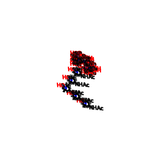 CC(=O)NC1CC(C)(C)N(O)C(C)(C)C1.CC(=O)NC1CC(C)(C)N(O)C(C)(C)C1.CC(=O)NC1CC(C)(C)N(O)C(C)(C)C1.CC(=O)NC1CC(C)(C)N(O)C(C)(C)C1.CC(=O)NC1CC(C)(C)N(O)C(C)(C)C1.O=P(O)(O)C(N(CCN(C(P(=O)(O)O)P(=O)(O)O)C(P(=O)(O)O)P(=O)(O)O)CCN(C(P(=O)(O)O)P(=O)(O)O)C(P(=O)(O)O)P(=O)(O)O)P(=O)(O)O